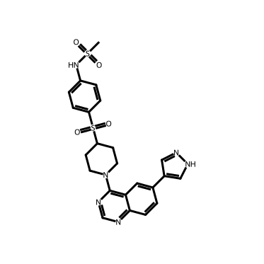 CS(=O)(=O)Nc1ccc(S(=O)(=O)C2CCN(c3ncnc4ccc(-c5cn[nH]c5)cc34)CC2)cc1